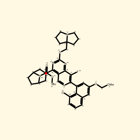 COCOc1cc(-c2ncc3c(N4CC5CCC(C4)N5C(=O)OC(C)(C)C)nc(OCC45CCCN4CCC5)nc3c2F)c2c(Cl)cccc2c1